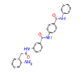 Nc1ccccc1CC(=O)Nc1cccc(C(=O)Nc2ccc(C(=O)Nc3ccccc3)cc2)c1